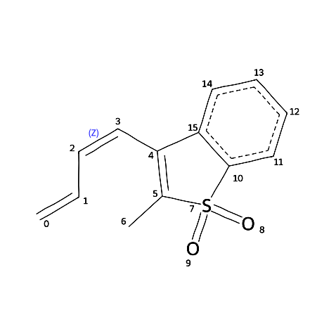 C=C/C=C\C1=C(C)S(=O)(=O)c2ccccc21